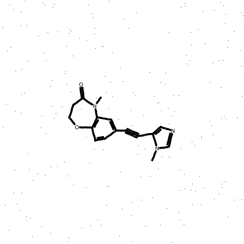 CN1C(=O)CCOc2ccc(C#Cc3cncn3C)cc21